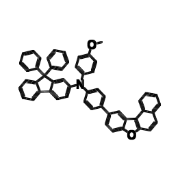 COc1ccc(N(c2ccc(-c3ccc4oc5ccc6ccccc6c5c4c3)cc2)c2ccc3c(c2)C(c2ccccc2)(c2ccccc2)c2ccccc2-3)cc1